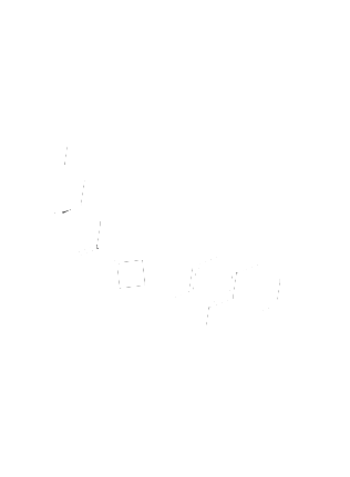 N[C@@H](CCC(=O)O)CC(=O)N1CC(Oc2ccc3c(c2C(=O)O)OB(O)CC3)C1